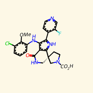 COc1c(Cl)cccc1Nc1c(-c2ccncc2F)[nH]c2c1C(=O)NC[C@@]21CCN(C(=O)O)C1